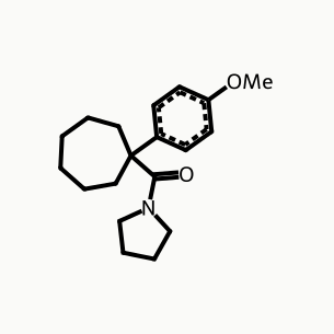 COc1ccc(C2(C(=O)N3CCCC3)CCCCCC2)cc1